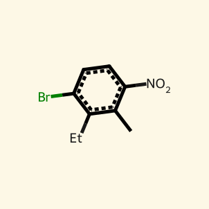 CCc1c(Br)ccc([N+](=O)[O-])c1C